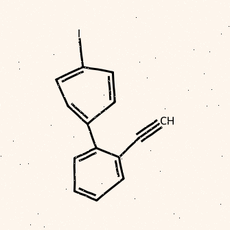 C#Cc1ccccc1-c1ccc(I)cc1